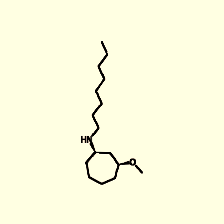 CCCCCCCCN[C@@H]1CCCC[C@H](OC)C1